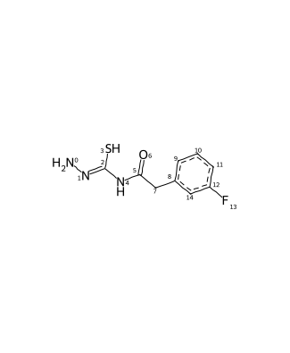 N/N=C(\S)NC(=O)Cc1cccc(F)c1